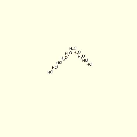 Cl.Cl.Cl.Cl.Cl.O.O.O.O.O